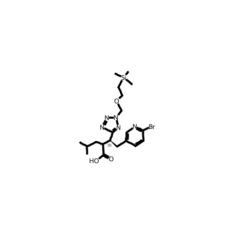 CC(C)CC(C(=O)O)[C@H](Cc1ccc(Br)nc1)c1nnn(COCC[Si](C)(C)C)n1